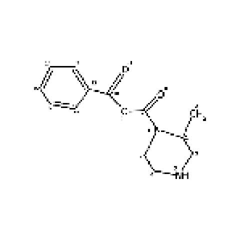 CC1CNCCN1C(=O)OC(=O)c1ccccc1